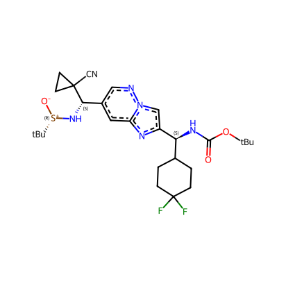 CC(C)(C)OC(=O)N[C@H](c1cn2ncc([C@H](N[S@@+]([O-])C(C)(C)C)C3(C#N)CC3)cc2n1)C1CCC(F)(F)CC1